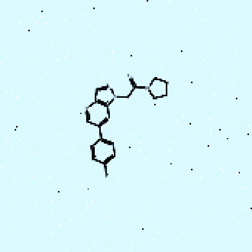 O=C(Cn1ncc2ncc(-c3ccc(F)cc3)cc21)N1CCCC1